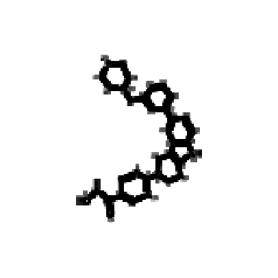 O=C(NO)c1cnc(N2CCc3[nH]c4ccc(-c5cccc(CN6CCSCC6)c5)cc4c3C2)nc1